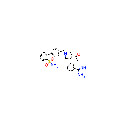 CC(=O)[C@H]1CN(Cc2ccc(-c3ccccc3S(N)(=O)=O)cc2)C[C@@H]1c1cccc(C(=N)N)c1